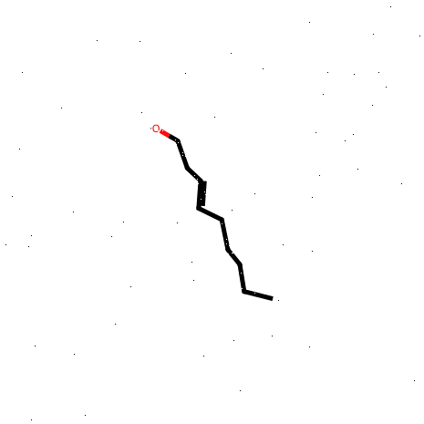 CCCCCC=CCC[O]